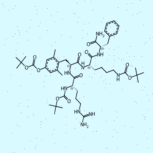 Cc1cc(OC(=O)OC(C)(C)C)cc(C)c1C[C@H](NC(=O)[C@H](CCCNC(=N)N)NC(=O)OC(C)(C)C)C(=O)N[C@@H](CCCCNC(=O)OC(C)(C)C)C(=O)N[C@@H](Cc1ccccc1)C(N)=O